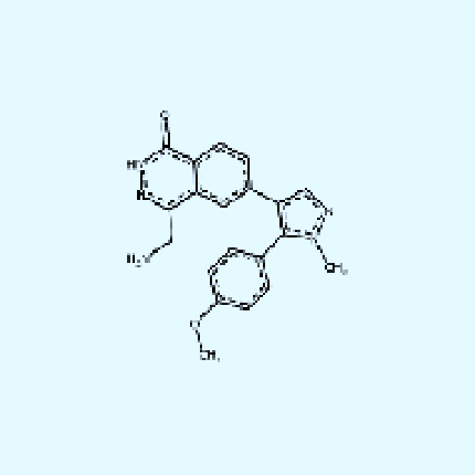 COc1ccc(-c2c(-c3ccc4c(=O)[nH]nc(CN)c4c3)cnn2C)cc1